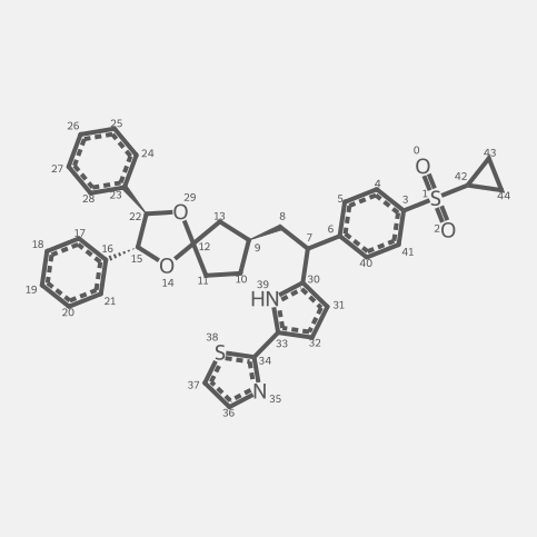 O=S(=O)(c1ccc(C(C[C@H]2CCC3(C2)O[C@H](c2ccccc2)[C@@H](c2ccccc2)O3)c2ccc(-c3nccs3)[nH]2)cc1)C1CC1